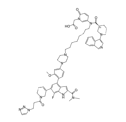 COc1cc(N2CCN(CCCCCCCCN(C(=O)[C@H]3CCCN(c4cncc5ccccc45)C3)c3ccc(=O)n(CC(=O)O)c3)CC2)ccc1-c1cc(C2=CCCN(C(=O)CCn3ccnn3)C2)c(F)c2[nH]c(C(=O)N(C)C)cc12